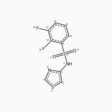 O=S(=O)(Nc1cscn1)c1cccc(F)c1F